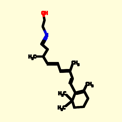 CC(C=CC1=C(C)CCCC1(C)C)=CC=CC(C)CC=NCCO